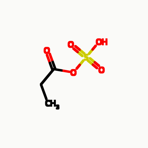 CCC(=O)OS(=O)(=O)O